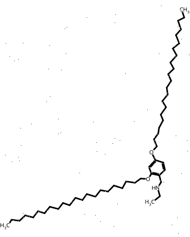 CCCCCCCCCCCCCCCCCCCCCCOc1ccc(CNCC)c(OCCCCCCCCCCCCCCCCCCCCCC)c1